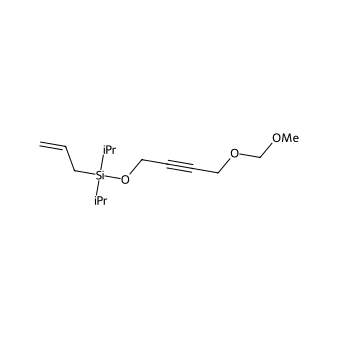 C=CC[Si](OCC#CCOCOC)(C(C)C)C(C)C